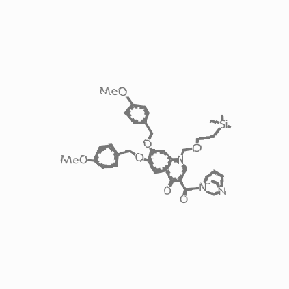 COc1ccc(COc2cc3c(=O)c(C(=O)N4CCN5CCC4CC5)cn(COCC[Si](C)(C)C)c3cc2OCc2ccc(OC)cc2)cc1